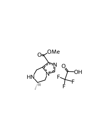 COC(=O)c1ncn2c1CN[C@@H](C)C2.O=C(O)C(F)(F)F